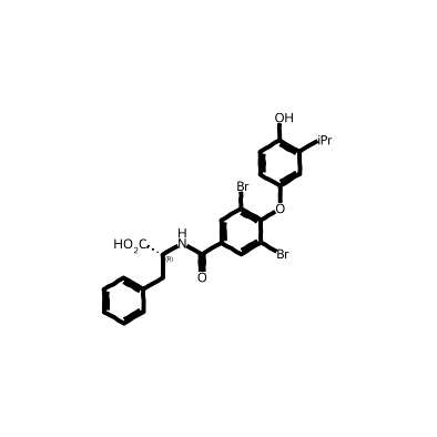 CC(C)c1cc(Oc2c(Br)cc(C(=O)N[C@H](Cc3ccccc3)C(=O)O)cc2Br)ccc1O